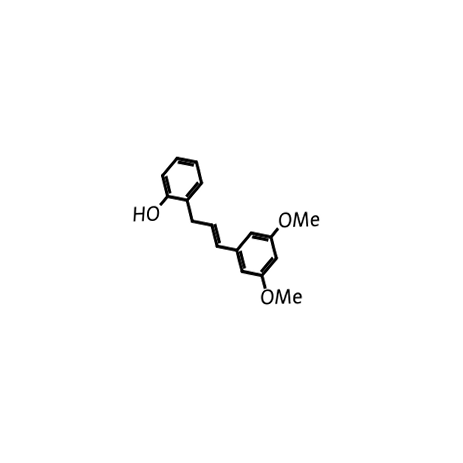 COc1cc(/C=C/Cc2ccccc2O)cc(OC)c1